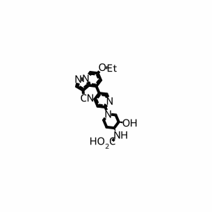 CCOc1cc(-c2ccc(N3CC[C@@H](NC(=O)O)[C@H](O)C3)nc2)c2c(C#N)cnn2c1